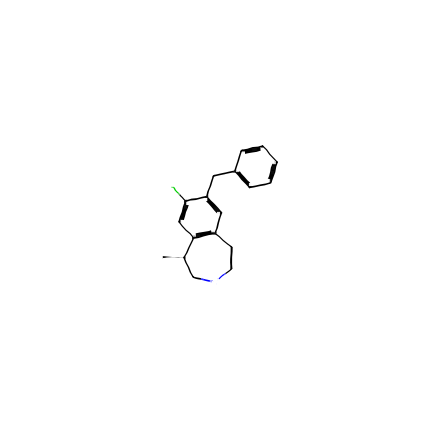 C[C@@H]1CNCCc2cc(Cc3ccccc3)c(Cl)cc21